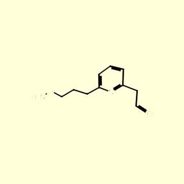 NOCCCc1cccc(CC=O)n1